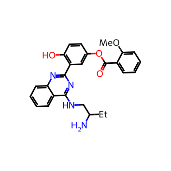 CCC(N)CNc1nc(-c2cc(OC(=O)c3ccccc3OC)ccc2O)nc2ccccc12